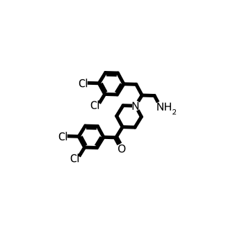 NCC(Cc1ccc(Cl)c(Cl)c1)N1CCC(C(=O)c2ccc(Cl)c(Cl)c2)CC1